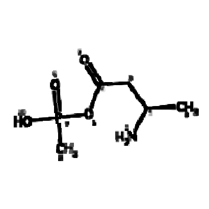 C[C@@H](N)CC(=O)OP(C)(=O)O